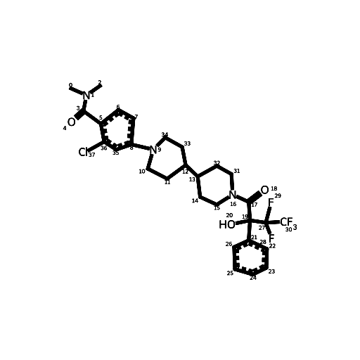 CN(C)C(=O)c1ccc(N2CCC(C3CCN(C(=O)C(O)(c4ccccc4)C(F)(F)C(F)(F)F)CC3)CC2)cc1Cl